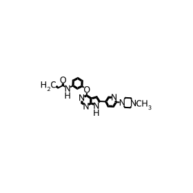 C=CC(=O)Nc1cccc(Oc2ncnc3[nH]c(-c4ccc(N5CCN(C)CC5)nc4)cc23)c1